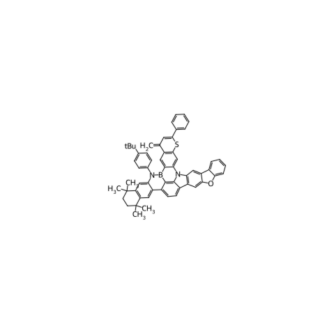 C=C1C=C(c2ccccc2)Sc2cc3c(cc21)B1c2c(ccc4c5cc6oc7ccccc7c6cc5n-3c24)-c2cc3c(cc2N1c1ccc(C(C)(C)C)cc1)C(C)(C)CCC3(C)C